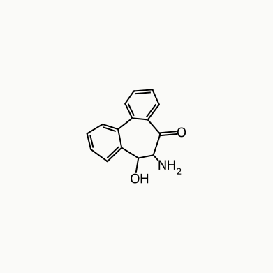 NC1C(=O)c2ccccc2-c2ccccc2C1O